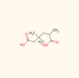 CC(CC(C)(C)CC(=O)O)C(=O)O